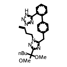 C=CCCn1nc(C(CCCC)(OC)OC)nc1Cc1ccc(-c2ccccc2-c2nnn[nH]2)cc1